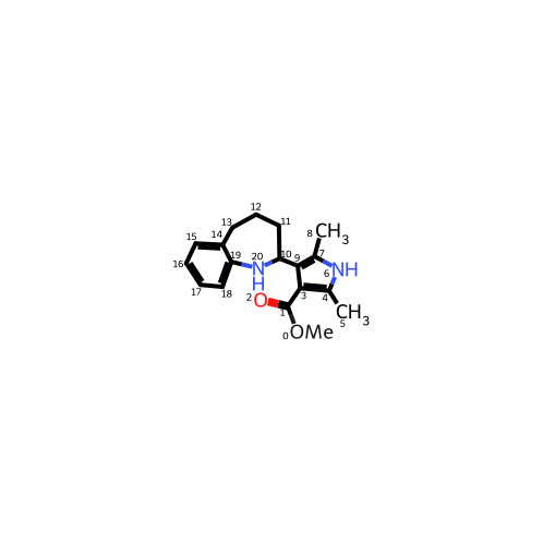 COC(=O)c1c(C)[nH]c(C)c1C1CCCc2ccccc2N1